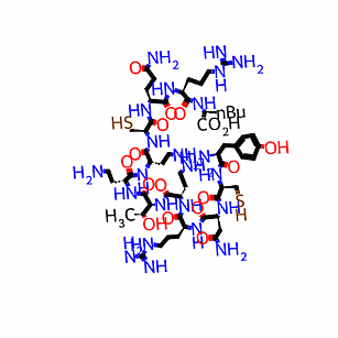 CCCC[C@H](NC(=O)[C@H](CCCNC(=N)N)NC(=O)[C@H](CCC(N)=O)NC(=O)[C@H](CS)NC(=O)[C@H](CCN)NC(=O)[C@@H](CCN)NC(=O)[C@@H](NC(=O)[C@H](CCN)NC(=O)[C@H](CCCNC(=N)N)NC(=O)[C@H](CC(N)=O)NC(=O)[C@H](CS)NC(=O)[C@@H](N)Cc1ccc(O)cc1)[C@@H](C)O)C(=O)O